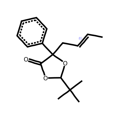 C/C=C/CC1(c2ccccc2)OC(C(C)(C)C)OC1=O